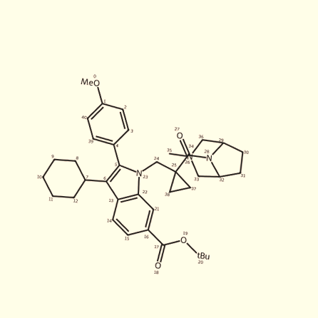 COc1ccc(-c2c(C3CCCCC3)c3ccc(C(=O)OC(C)(C)C)cc3n2CC2(C(=O)N3C4CCC3CN(C)C4)CC2)cc1